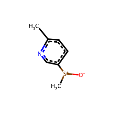 Cc1ccc([S+](C)[O-])cn1